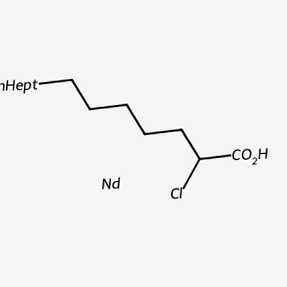 CCCCCCCCCCCCC(Cl)C(=O)O.[Nd]